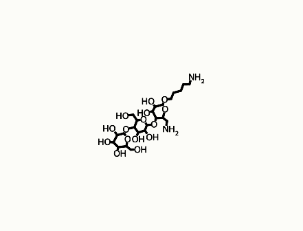 NCCCCCOC1OC(CN)C(OC2OC(CO)C(OC3OC(CO)C(O)C(O)C3O)C(O)C2O)C(O)C1O